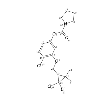 CC1(C)C(COc2cc(OC(=O)N3CCCC3)ccc2Cl)C1(Cl)Cl